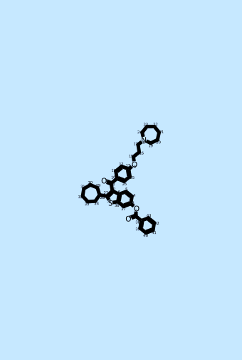 O=C(Oc1ccc2c(C(=O)c3ccc(OCCCN4CCCCCC4)cc3)c(C3CCCCCC3)sc2c1)c1ccccc1